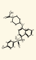 O=C(O)N1CCC(Oc2ccc(NS(=O)(=O)c3ccc(Cl)cc3)c3ccccc23)CC1